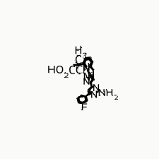 CC(C)(CC(=O)O)c1cccc(Cn2cc(-c3cc(-c4cccc(F)c4)nc(N)n3)nn2)n1